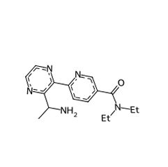 CCN(CC)C(=O)c1ccc(-c2nccnc2C(C)N)nc1